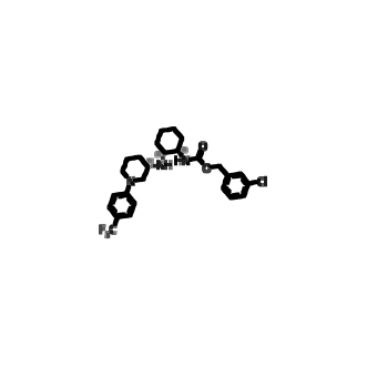 O=C(N[C@@H]1CCCC[C@H]1N[C@H]1CCCN(c2ccc(C(F)(F)F)cc2)C1)OCc1cccc(Cl)c1